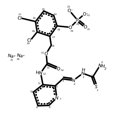 NC(=S)NN=Cc1ncccc1NC(=O)OCc1c(OP(=O)([O-])[O-])ccc(Cl)c1Cl.[Na+].[Na+]